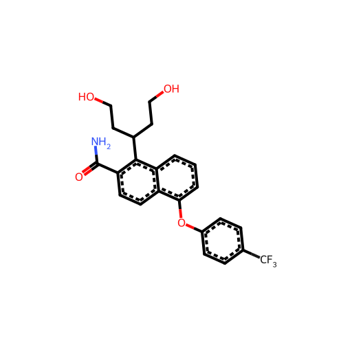 NC(=O)c1ccc2c(Oc3ccc(C(F)(F)F)cc3)cccc2c1C(CCO)CCO